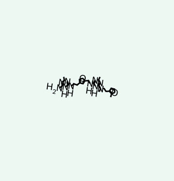 Cc1occc1CCN(C)C1=NC(C)N=C(NCc2cc(CCNC3=NC(C)N=C(N)N3)co2)N1